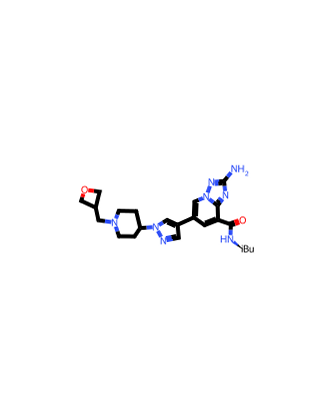 CC[C@H](C)NC(=O)c1cc(-c2cnn(C3CCN(CC4COC4)CC3)c2)cn2nc(N)nc12